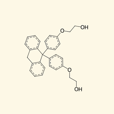 OCCOc1ccc(C2(c3ccc(OCCO)cc3)c3ccccc3Cc3ccccc32)cc1